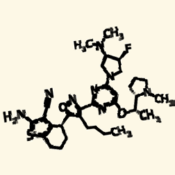 CCCCc1c(-c2nc(O[C@@H](C)[C@@H]3CCCN3C)cc(N3C[C@@H](N(C)C)[C@@H](F)C3)n2)noc1[C@H]1CCCc2sc(N)c(C#N)c21